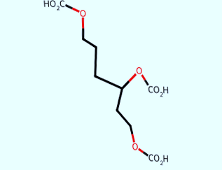 O=C(O)OCCCC(CCOC(=O)O)OC(=O)O